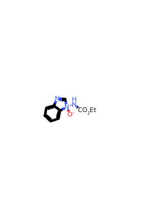 CCOC(=O)N[N+]1([O-])C=Nc2ccccc21